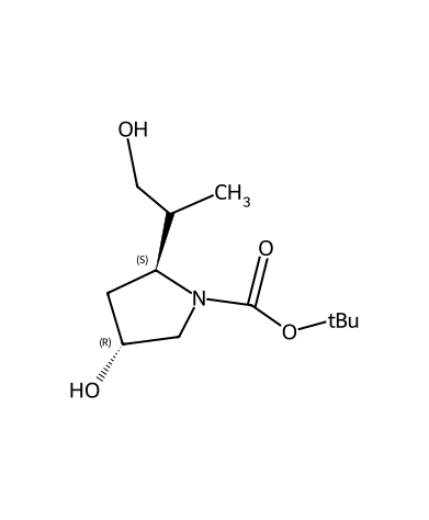 CC(CO)[C@@H]1C[C@@H](O)CN1C(=O)OC(C)(C)C